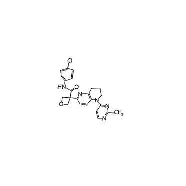 O=C(Nc1ccc(Cl)cc1)C1(c2ccc3c(n2)CCCN3c2ccnc(C(F)(F)F)n2)COC1